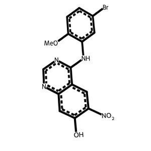 COc1ccc(Br)cc1Nc1ncnc2cc(O)c([N+](=O)[O-])cc12